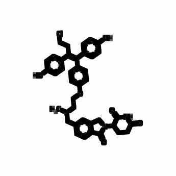 CN(CCOc1ccc(C(=C(CCCl)c2ccc(O)cc2)c2ccc(O)cc2)cc1)Cc1ccc2c(c1)CN(C1CCC(=O)NC1=O)C2=O